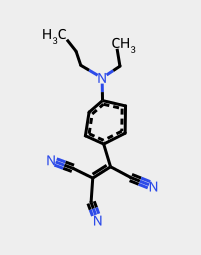 CCCN(CC)c1ccc(C(C#N)=C(C#N)C#N)cc1